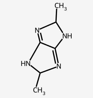 CC1N=C2NC(C)N=C2N1